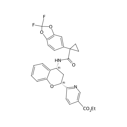 CCOC(=O)c1ccc([C@H]2C[C@@H](NC(=O)C3(c4ccc5c(c4)OC(F)(F)O5)CC3)c3ccccc3O2)nc1